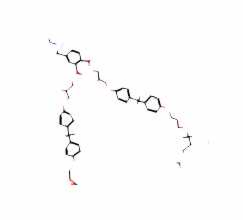 CCNC(=O)c1ccc(C(=O)OCC(O)COc2ccc(C(C)(C)c3ccc(OCC(O)COC(C)(C)CCOC(C)C)cc3)cc2)c(C(=O)OCC(O)COc2ccc(C(C)(C)c3ccc(OCC4CO4)cc3)cc2)c1